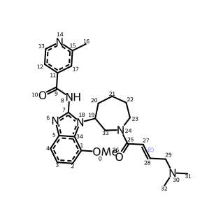 COc1cccc2nc(NC(=O)c3ccnc(C)c3)n(C3CCCCN(C(=O)/C=C/CN(C)C)C3)c12